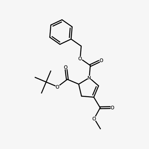 COC(=O)C1=CN(C(=O)OCc2ccccc2)C(C(=O)OC(C)(C)C)C1